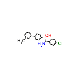 Cc1cccc(-c2ccc(C(O)C(N)c3ccc(Cl)cc3)cc2)c1